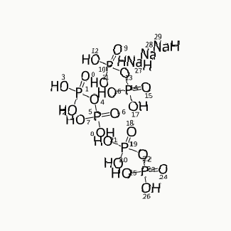 O=P(O)(O)OP(=O)(O)O.O=P(O)(O)OP(=O)(O)O.O=P(O)(O)OP(=O)(O)O.[NaH].[NaH].[NaH]